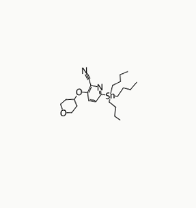 CCC[CH2][Sn]([CH2]CCC)([CH2]CCC)[c]1ccc(OC2CCOCC2)c(C#N)n1